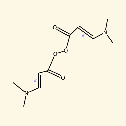 CN(C)/C=C/C(=O)OOC(=O)/C=C/N(C)C